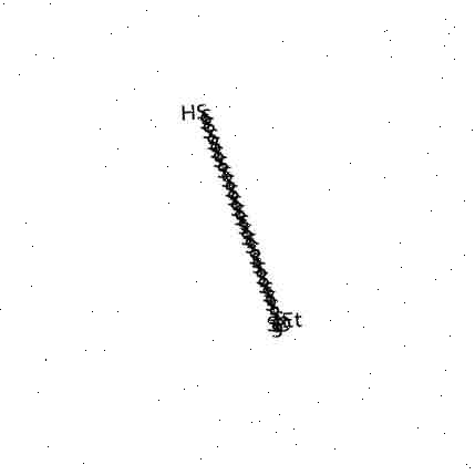 CCOS(=S)(=S)SSSSSSSSSSSSSSSSSSSSSSSSSSSSSSSSSSSSSSSSSSSS